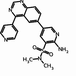 CN(C)S(=O)(=O)c1cc(-c2ccc3ncnc(-c4ccncc4)c3c2)cnc1N